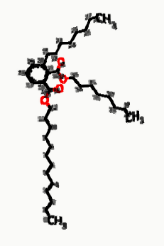 CCCCCCCCCCCCCOC(=O)c1cccc(CCCCCCCC)c1C(=O)OCCCCCCCC